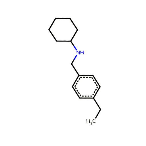 CCc1ccc(CNC2CCCCC2)cc1